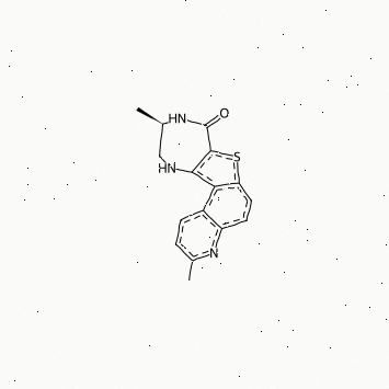 Cc1ccc2c(ccc3sc4c(c32)NC[C@@H](C)NC4=O)n1